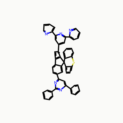 c1ccc(-c2cc(-c3ccc4c(c3)C3(c5ccccc5Sc5ccccc53)c3cc(-c5cc(-c6ccccn6)nc(-c6ccccn6)c5)ccc3-4)nc(-c3ccccc3)n2)cc1